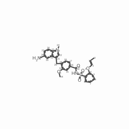 CC=COc1ccccc1S(=O)(=O)NC(=O)c1ccc(Cc2cn(C)c3ccc(N)cc23)c(OC)c1